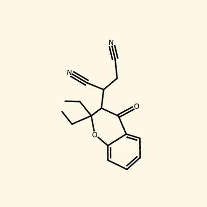 CCC1(CC)Oc2ccccc2C(=O)C1C(C#N)CC#N